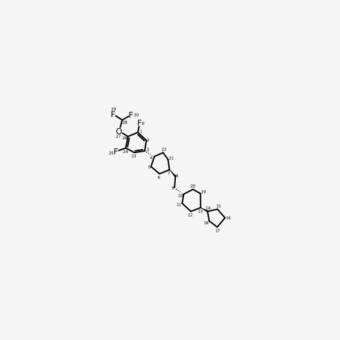 Fc1cc([C@H]2CC[C@H](CC[C@H]3CC[C@H](C4CCCC4)CC3)CC2)cc(F)c1OC(F)F